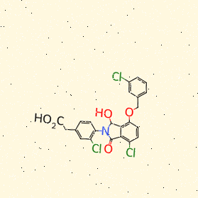 O=C(O)Cc1ccc(N2C(=O)c3c(Cl)ccc(OCc4cccc(Cl)c4)c3C2O)c(Cl)c1